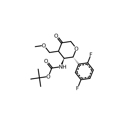 COCC1C(=O)CO[C@H](c2cc(F)ccc2F)[C@H]1NC(=O)OC(C)(C)C